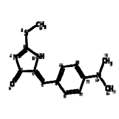 CSC1=NC(=O)C(=Cc2ccc(N(C)C)cc2)N1